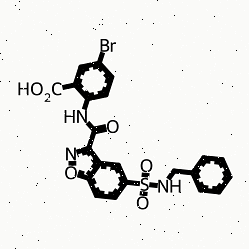 O=C(O)c1cc(Br)ccc1NC(=O)c1noc2ccc(S(=O)(=O)NCc3ccccc3)cc12